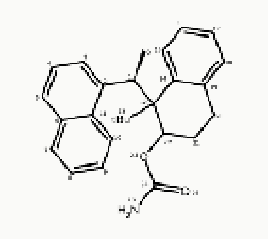 C[C@H](c1cccc2ccccc12)C1(C(C)(C)C)c2ccccc2CCC1OC(N)=O